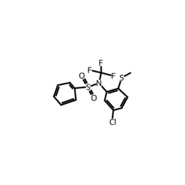 CSc1ccc(Cl)cc1N(C(F)(F)F)S(=O)(=O)c1ccccc1